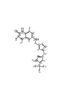 Cc1nc(NCc2cnn(Cc3cc(C(F)(F)F)n(C)n3)c2)nc2c1NC(=O)[C@H](C)N2C